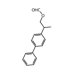 CC(COC=O)c1ccc(-c2ccccc2)cc1